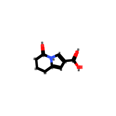 O=C(O)c1cc2n(c1)C(=O)CCC2